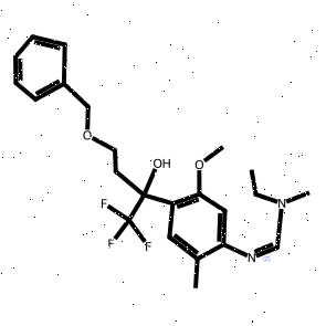 CCN(C)/C=N\c1cc(OC)c(C(O)(CCOCc2ccccc2)C(F)(F)F)cc1C